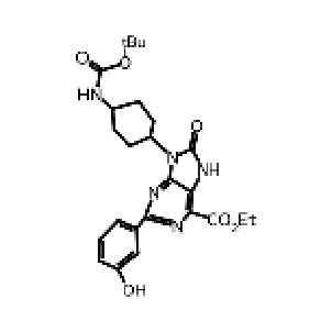 CCOC(=O)c1nc(-c2cccc(O)c2)nc2c1[nH]c(=O)n2C1CCC(NC(=O)OC(C)(C)C)CC1